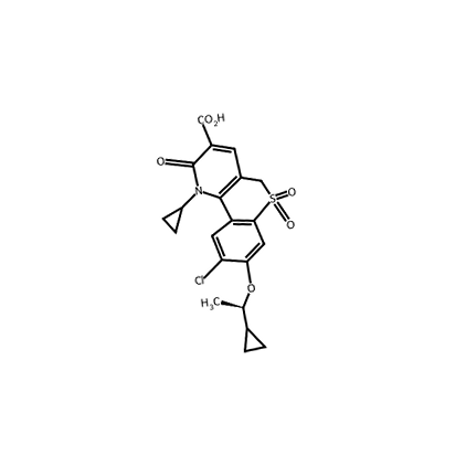 C[C@@H](Oc1cc2c(cc1Cl)-c1c(cc(C(=O)O)c(=O)n1C1CC1)CS2(=O)=O)C1CC1